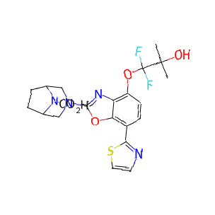 CC(C)(O)C(F)(F)Oc1ccc(-c2nccs2)c2oc(N3CC4CCC(C3)N4C(=O)O)nc12